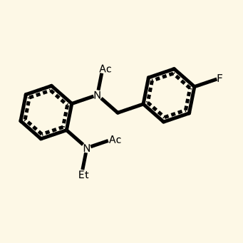 CCN(C(C)=O)c1ccccc1N(Cc1ccc(F)cc1)C(C)=O